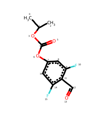 CC(C)OC(=O)Oc1cc(F)c(C=O)c(F)c1